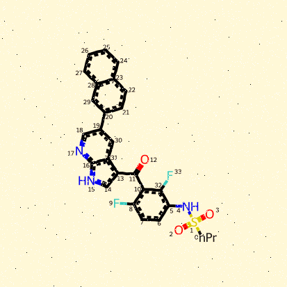 CCCS(=O)(=O)Nc1ccc(F)c(C(=O)c2c[nH]c3ncc(-c4ccc5ccccc5c4)cc23)c1F